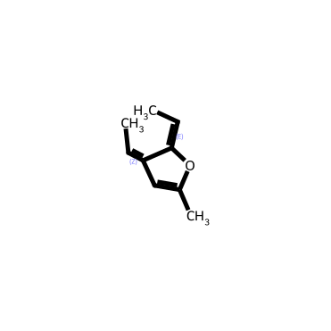 C/C=c1/cc(C)o/c1=C/C